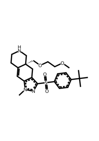 COCCOC[C@@]12CNCCC1=Cc1c(c(S(=O)(=O)c3ccc(C(C)(C)C)cc3)nn1C)C2